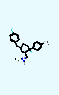 Cc1ccc(C2(F)CCC(Cc3ccc(F)cc3)CC2CN(C)C)cc1